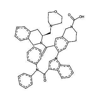 O=C(O)N1CCc2cc(-n3cc(C(=O)N(c4ccccc4)c4ccccc4)c4ccccc43)c(C(=O)N3Cc4ccccc4C[C@H]3CN3CCOCC3)cc2C1